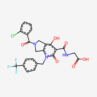 O=C(O)CNC(=O)c1c(O)c2c(n(Cc3ccc(C(F)(F)F)cc3)c1=O)CN(C(=O)c1ccccc1Cl)C2